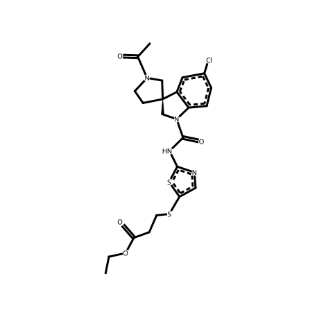 CCOC(=O)CCSc1cnc(NC(=O)N2C[C@]3(CCN(C(C)=O)C3)c3cc(Cl)ccc32)s1